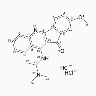 COc1ccc2c(c1)C(=O)c1c-2nc2ccccc2c1NC(C)N(C)C.Cl.Cl